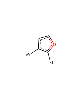 CCc1occc1C(C)C